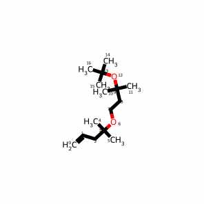 C=CCC(C)(C)OCCC(C)(C)OC(C)(C)C